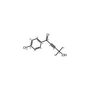 CC(C)(O)C#CC(=O)c1ccc(Cl)cc1